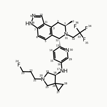 C[C@@H]1Cc2c(ccc3[nH]ncc23)[C@@H](c2ccc(N[C@@H]3CN(CCCF)CC34CC4)cn2)N1CC(F)(F)F